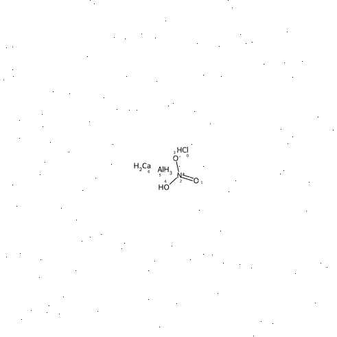 Cl.O=[N+]([O-])O.[AlH3].[CaH2]